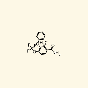 Cc1c(C(N)=O)ccc(OC(F)(F)F)c1Oc1ccccc1